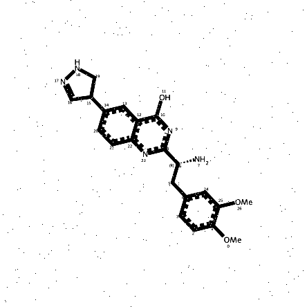 COc1ccc(C[C@@H](N)c2nc(O)c3cc(C4C=NNC4)ccc3n2)cc1OC